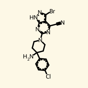 N#Cc1nc(N2CCC(N)(c3ccc(Cl)cc3)CC2)nc2[nH]nc(Br)c12